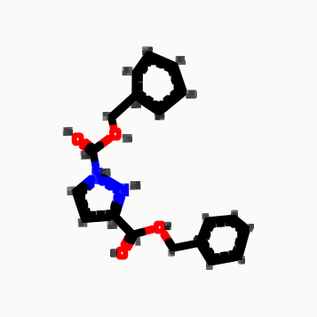 O=C(OCc1ccccc1)c1ccn(C(=O)OCc2ccccc2)n1